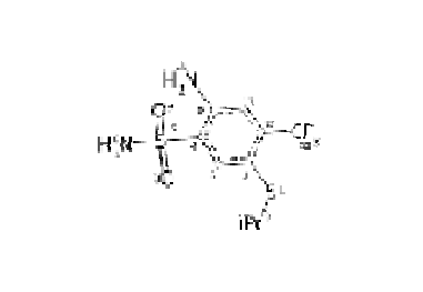 CC(C)Sc1cc(S(N)(=O)=O)c(N)cc1C(F)(F)F